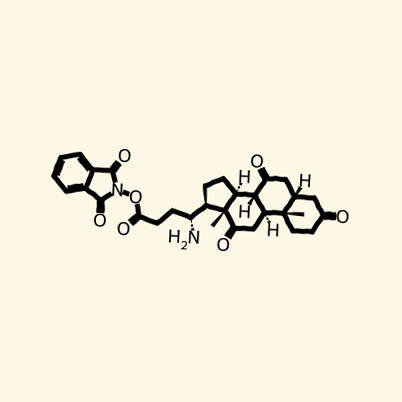 C[C@]12CCC(=O)C[C@H]1CC(=O)[C@@H]1[C@@H]2CC(=O)[C@]2(C)[C@@H]([C@H](N)CCC(=O)ON3C(=O)c4ccccc4C3=O)CC[C@@H]12